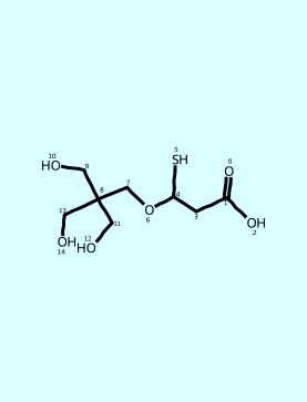 O=C(O)CC(S)OCC(CO)(CO)CO